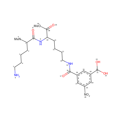 CNC(CCCCN)C(=O)NC(CCCCNC(=O)c1cc(B(O)O)cc([N+](=O)[O-])c1)C(=O)OC